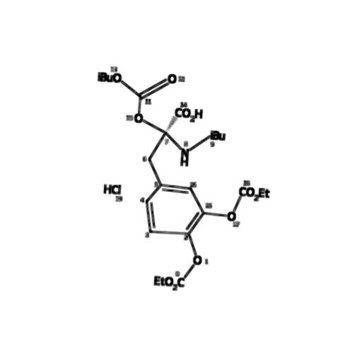 CCOC(=O)Oc1ccc(C[C@](NC(C)CC)(OC(=O)OCC(C)C)C(=O)O)cc1OC(=O)OCC.Cl